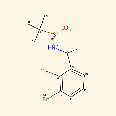 CC(N[S@@+]([O-])C(C)(C)C)c1cccc(Br)c1F